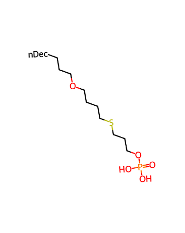 CCCCCCCCCCCCCOCCCCSCCCOP(=O)(O)O